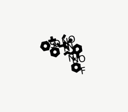 CCc1nn(-c2cccc(F)c2)c(=O)c2cccc(-n3nc(CO[Si](c4ccccc4)(c4ccccc4)C(C)(C)C)n(CC)c3=O)c12